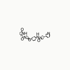 O=C1CC[C@@H](C(=O)N2CC[C@@H](Oc3ccc(NC(=O)N4CC(c5cccnc5)C4)cc3)C2)N1